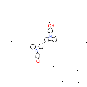 Oc1ccc(-n2c3c(c4cc(-c5ccc6c(c5)c5ccccc5n6-c5ccc(O)cc5)ccc42)C=CCC3)cc1